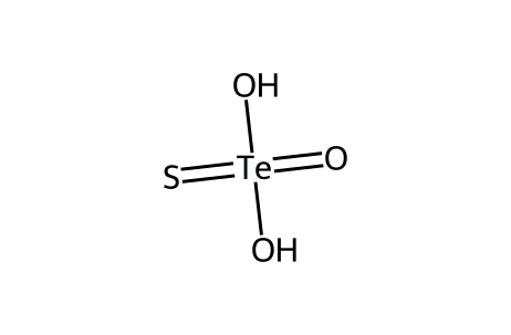 O=[Te](O)(O)=S